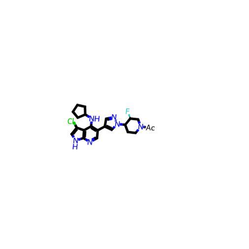 CC(=O)N1CCC(n2cc(-c3cnc4[nH]cc(Cl)c4c3NC3CCCC3)cn2)[C@@H](F)C1